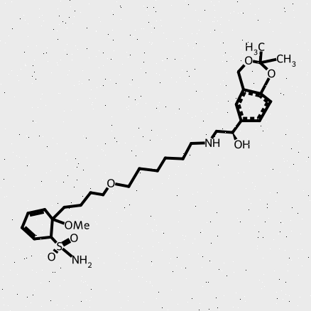 COC1(CCCCOCCCCCCNC[C@H](O)c2ccc3c(c2)COC(C)(C)O3)C=CC=CC1S(N)(=O)=O